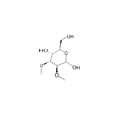 CO[C@H]1[C@H](O)[C@@H](CO)OC(O)[C@H]1OC